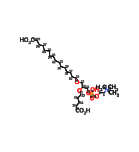 C[N+](C)(C)CCOP(=O)(O)OCC(COCCCCCCCCCCCCCCCC(=O)O)OCCCCC(=O)O